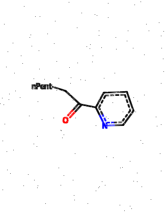 [CH2]CCCCCC(=O)c1ccccn1